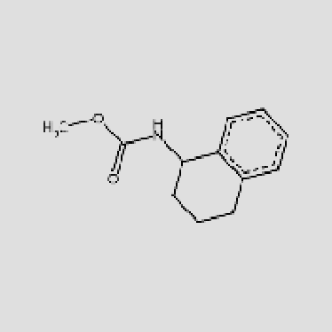 COC(=O)NC1CCCc2ccccc21